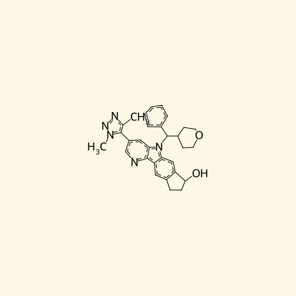 Cc1nnn(C)c1-c1cnc2c3cc4c(cc3n(C(c3ccccc3)C3CCOCC3)c2c1)C(O)CC4